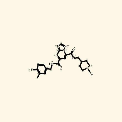 CC(=O)N1CCC(CNC(=O)c2cc(C(=O)NCc3ccc(F)c(C)c3)nc3ncnn23)CC1